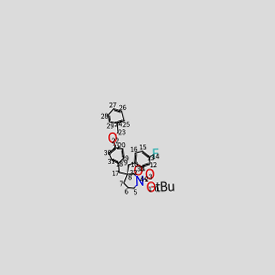 CC(C)(C)OC(=O)N1CCC[C@](Cc2ccc(F)cc2)(Cc2ccc(OCc3ccccc3)cc2)C1=O